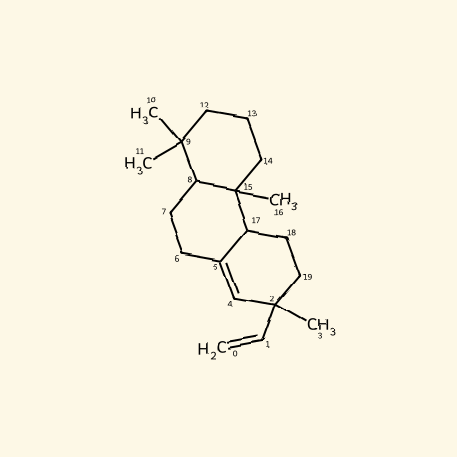 C=CC1(C)C=C2CCC3C(C)(C)CCCC3(C)C2CC1